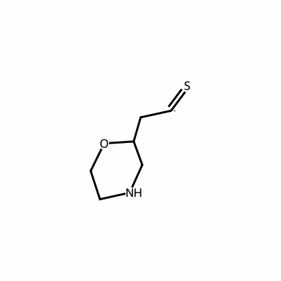 S=[C]CC1CNCCO1